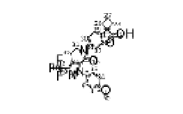 COc1ccc(-n2nc(C(F)(F)F)c3c2C(=O)N(c2ccc(C4(C(=O)O)CCC4)cc2)CC3)cc1